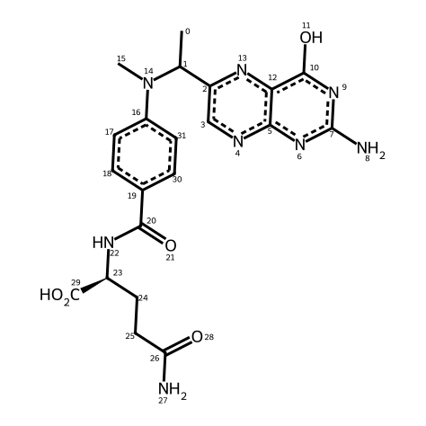 CC(c1cnc2nc(N)nc(O)c2n1)N(C)c1ccc(C(=O)N[C@@H](CCC(N)=O)C(=O)O)cc1